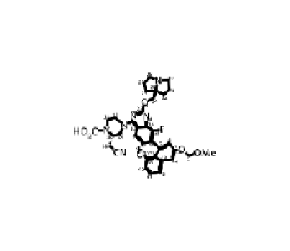 COCOc1cc(-c2c(F)cc3c(N4CCN(C(=O)O)[C@@H](CC#N)C4)nc(OCC45CCCN4CCC5)nc3c2F)c2c(Cl)cccc2c1